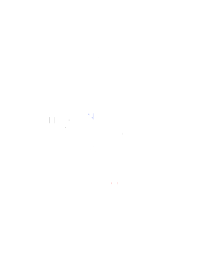 CC(C)CC1CCC=C(OP(=O)(c2ccccc2)c2ccccc2)N(C(=O)O)C1